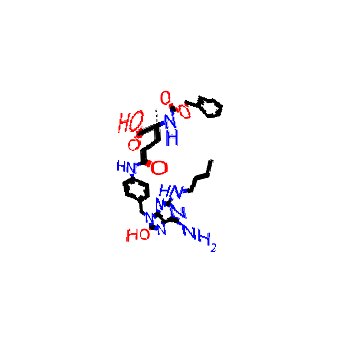 CCCCNc1nc(N)c2nc(O)n(Cc3ccc(NC(=O)CC[C@](C)(NC(=O)OCc4ccccc4)C(=O)O)cc3)c2n1